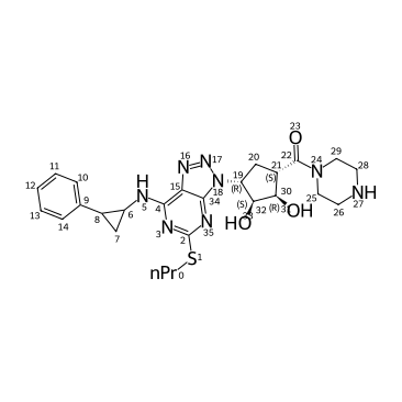 CCCSc1nc(NC2CC2c2ccccc2)c2nnn([C@@H]3C[C@H](C(=O)N4CCNCC4)[C@@H](O)[C@H]3O)c2n1